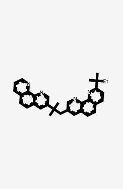 CCC(C)(C)c1ccc2ccc3cc(CC(C)(C)c4cnc5c(ccc6cccnc65)c4)cnc3c2n1